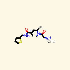 C/C(=C\C(C(C)C)N(C)C(=O)CNC=O)C(=O)NCc1cccs1